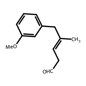 COc1cccc(CC(C)=CCC=O)c1